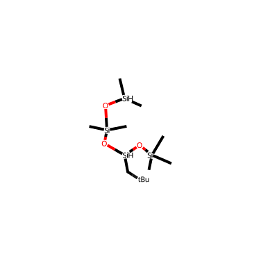 C[SiH](C)O[Si](C)(C)O[SiH](CC(C)(C)C)O[Si](C)(C)C